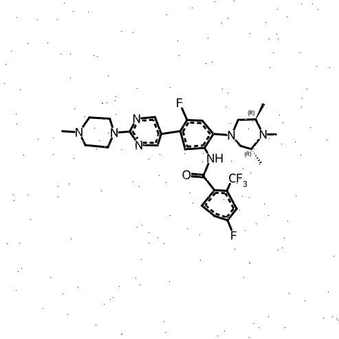 C[C@@H]1CN(c2cc(F)c(-c3cnc(N4CCN(C)CC4)nc3)cc2NC(=O)c2ccc(F)cc2C(F)(F)F)C[C@@H](C)N1C